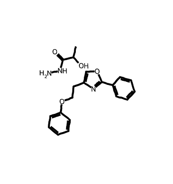 CC(O)C(=O)NN.c1ccc(OCCc2coc(-c3ccccc3)n2)cc1